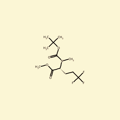 COC(=O)[C@@H](CCC(F)(F)F)N(C)C(=O)OC(C)(C)C